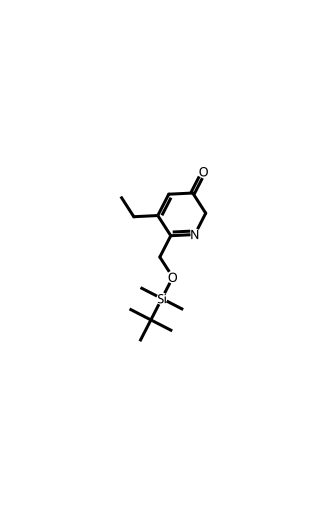 CCC1=CC(=O)CN=C1CO[Si](C)(C)C(C)(C)C